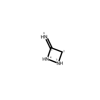 N=C1CNN1